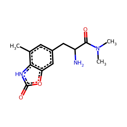 Cc1cc(CC(N)C(=O)N(C)C)cc2oc(=O)[nH]c12